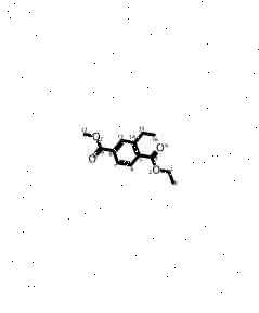 CCOC(=O)c1ccc(C(=O)OC)cc1CC